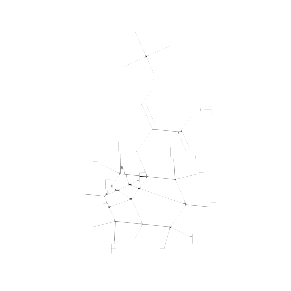 CC(C)(C)OC=C(CC12C(F)(F)C3(F)C(F)(F)C(F)(C(F)(F)C(F)(C3(F)F)C1(F)F)C2(F)F)C(=O)O